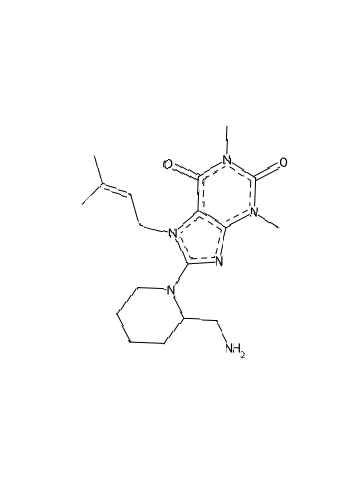 CC(C)=CCn1c(N2CCCCC2CN)nc2c1c(=O)n(C)c(=O)n2C